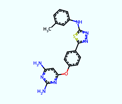 Cc1cccc(Nc2nnc(-c3ccc(Oc4cc(N)nc(N)n4)cc3)s2)c1